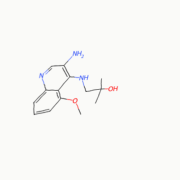 COc1cccc2ncc(N)c(NCC(C)(C)O)c12